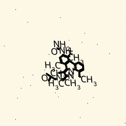 CCc1cccc(CC)c1-n1nc2c(c1-c1cc(F)c(NC(N)=O)cc1C)CN(CC1(C)COC1)C2(C)C